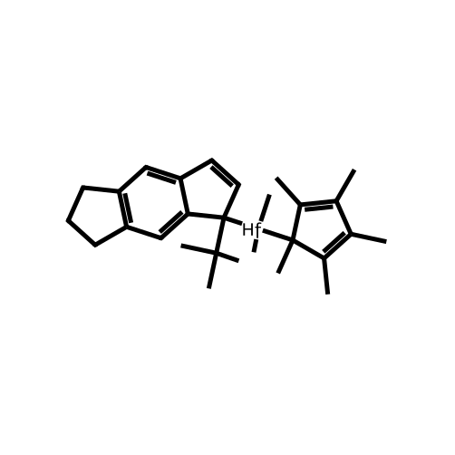 CC1=C(C)[C](C)([Hf]([CH3])([CH3])[C]2(C(C)(C)C)C=Cc3cc4c(cc32)CCC4)C(C)=C1C